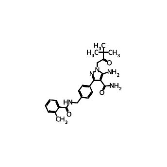 Cc1ccccc1C(=O)NCc1ccc(-c2nn(CC(=O)C(C)(C)C)c(N)c2C(N)=O)cc1